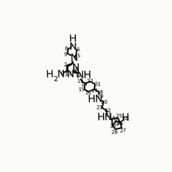 Nc1cc(N2CCNCC2)nc(NCC2CCC(CNCCCNC3C[C@@H]4CCC3C4)CC2)n1